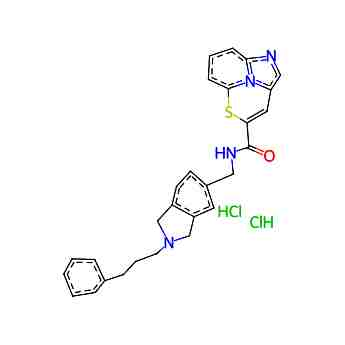 Cl.Cl.O=C(NCc1ccc2c(c1)CN(CCCc1ccccc1)C2)C1=Cc2cnc3cccc(n23)S1